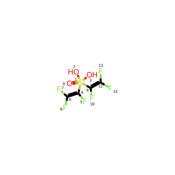 O=S(O)(O)(C(F)=C(F)F)C(F)=C(F)F